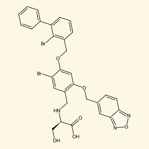 O=C(O)[C@@H](CO)NCc1cc(Br)c(OCc2cccc(-c3ccccc3)c2Br)cc1OCc1ccc2nonc2c1